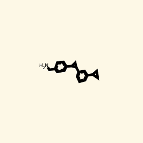 NCc1ccc(C2CC2c2cccc(C3CC3)c2)cc1